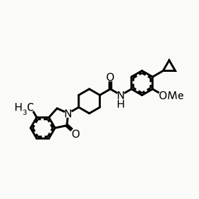 COc1cc(NC(=O)C2CCC(N3Cc4c(C)cccc4C3=O)CC2)ccc1C1CC1